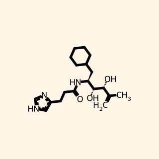 C=C(C)[C@@H](O)[C@H](O)[C@H](CC1CCCCC1)NC(=O)CCc1c[nH]cn1